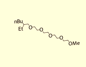 CCCCC(CC)COCCOCCOCCOCCOC